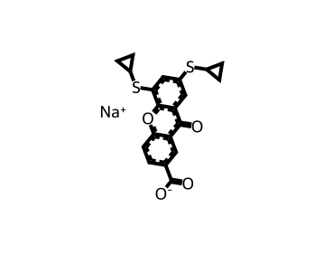 O=C([O-])c1ccc2oc3c(SC4CC4)cc(SC4CC4)cc3c(=O)c2c1.[Na+]